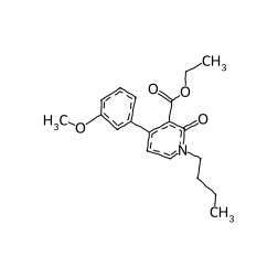 CCCCn1ccc(-c2cccc(OC)c2)c(C(=O)OCC)c1=O